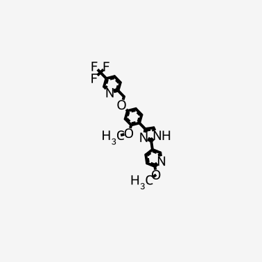 COc1ccc(-c2nc(-c3ccc(OCc4ccc(C(F)(F)F)cn4)cc3OC)c[nH]2)cn1